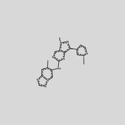 Cc1cc(-c2nn(C)c3cnc(Nc4cn5ncnc5cc4C)nc23)ccn1